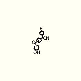 N#CC(=C1CCN(C(=O)N2CCCC(O)CC2)CC1)c1ccc(F)cc1